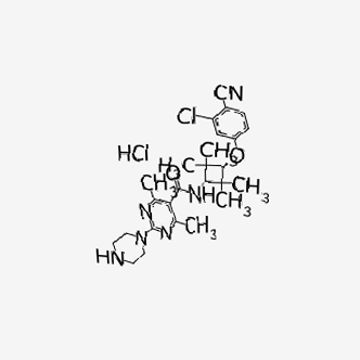 Cc1nc(N2CCNCC2)nc(C)c1C(=O)N[C@H]1C(C)(C)[C@H](Oc2ccc(C#N)c(Cl)c2)C1(C)C.Cl